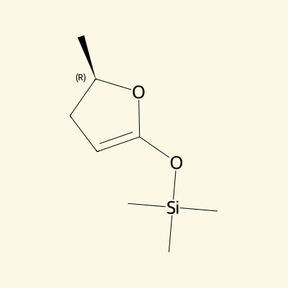 C[C@@H]1CC=C(O[Si](C)(C)C)O1